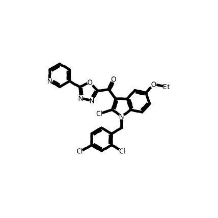 CCOc1ccc2c(c1)c(C(=O)c1nnc(-c3cccnc3)o1)c(Cl)n2Cc1ccc(Cl)cc1Cl